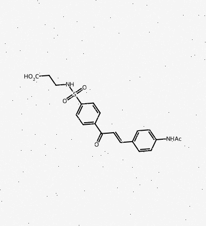 CC(=O)Nc1ccc(/C=C/C(=O)c2ccc(S(=O)(=O)NCCC(=O)O)cc2)cc1